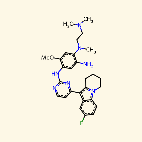 COc1cc(N(C)CCN(C)C)c(N)cc1Nc1nccc(-c2c3n(c4ccc(F)cc24)CCCC3)n1